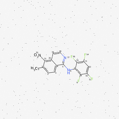 Cc1ccc2c(Nc3c(F)c(F)cc(F)c3F)nccc2c1[N+](=O)[O-]